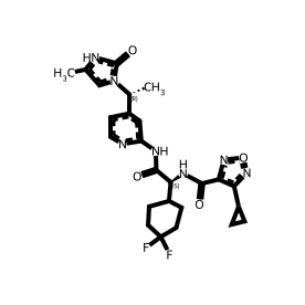 Cc1cn([C@H](C)c2ccnc(NC(=O)[C@@H](NC(=O)c3nonc3C3CC3)C3CCC(F)(F)CC3)c2)c(=O)[nH]1